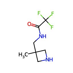 CC1(CNC(=O)C(F)(F)F)CNC1